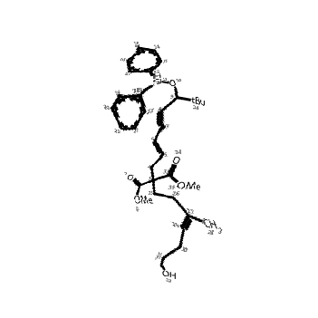 COC(=O)C(CC=CC=CC(O[SiH](c1ccccc1)c1ccccc1)C(C)(C)C)(CCC(C)=CCCO)C(=O)OC